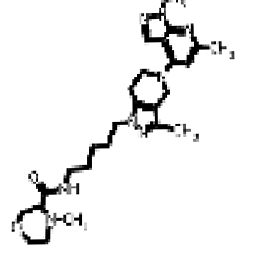 Cc1cc(N2CCc3c(c(C)nn3CCCCCNC(=O)C3COCCN3C)C2)c2cnn(C)c2n1